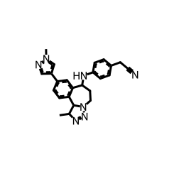 CC1N=NN2CCC(Nc3ccc(CC#N)cc3)c3cc(-c4cnn(C)c4)ccc3C12